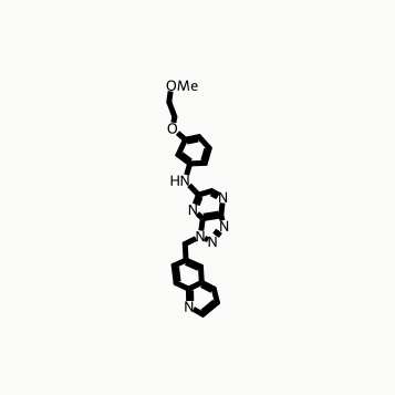 COCCOc1cccc(Nc2cnc3nnn(Cc4ccc5ncccc5c4)c3n2)c1